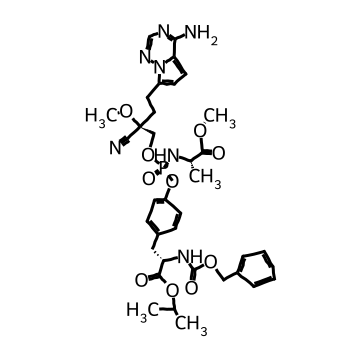 COC(=O)[C@H](C)NP(=O)(OC[C@](C#N)(CCc1ccc2c(N)ncnn12)OC)Oc1ccc(C[C@H](NC(=O)OCc2ccccc2)C(=O)OC(C)C)cc1